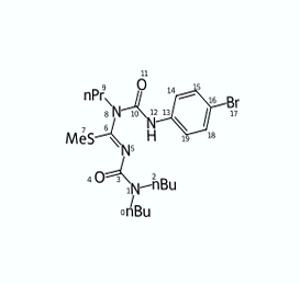 CCCCN(CCCC)C(=O)N=C(SC)N(CCC)C(=O)Nc1ccc(Br)cc1